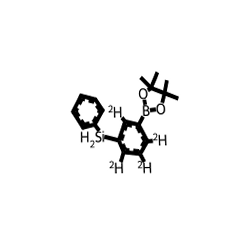 [2H]c1c([2H])c([SiH2]c2ccccc2)c([2H])c(B2OC(C)(C)C(C)(C)O2)c1[2H]